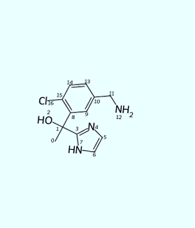 CC(O)(c1ncc[nH]1)c1cc(CN)ccc1Cl